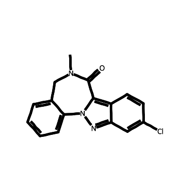 CN1Cc2ccccc2-n2nc3cc(Cl)ccc3c2C1=O